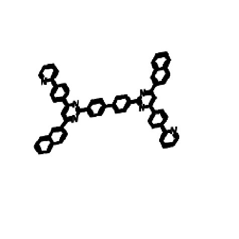 c1ccc(-c2ccc(-c3cc(-c4ccc5ccccc5c4)nc(-c4ccc(-c5ccc(-c6nc(-c7ccc(-c8ccccn8)cc7)cc(-c7ccc8ccccc8c7)n6)cc5)cc4)n3)cc2)nc1